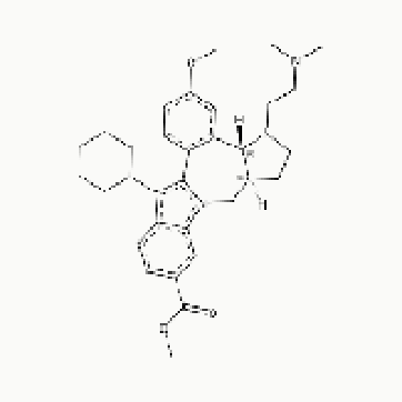 COC(=O)c1ccc2c(C3CCCCC3)c3n(c2c1)C[C@@H]1CCN(CCN(C)C)[C@H]1c1cc(OC)ccc1-3